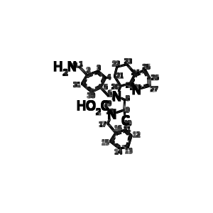 NCc1ccc(CN(CC2Cc3ccccc3CN2C(=O)O)C2CCCc3cccnc32)cc1